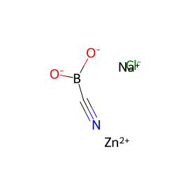 N#CB([O-])[O-].[Cl-].[Na+].[Zn+2]